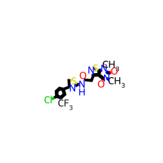 Cn1c(=O)c2c(CC(=O)NC3=NC(c4ccc(Cl)c(C(F)(F)F)c4)CS3)nsc2n(C)c1=O